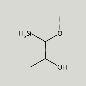 COC([SiH3])C(C)O